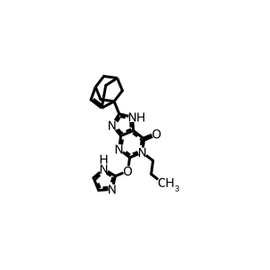 CCCn1c(Oc2ncc[nH]2)nc2nc(C34CC5C=C3CC(C5)C4)[nH]c2c1=O